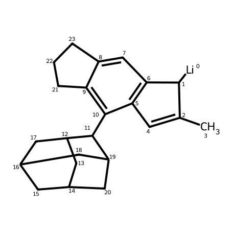 [Li][CH]1C(C)=Cc2c1cc1c(c2C2C3CC4CC(C3)CC2C4)CCC1